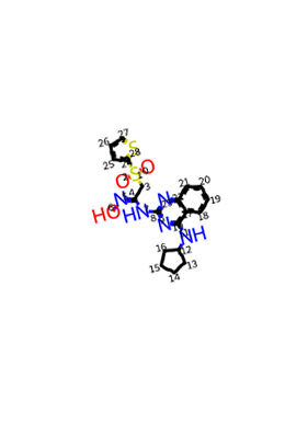 O=S(=O)(C/C(=N/O)Nc1nc(NC2CCCC2)c2ccccc2n1)c1cccs1